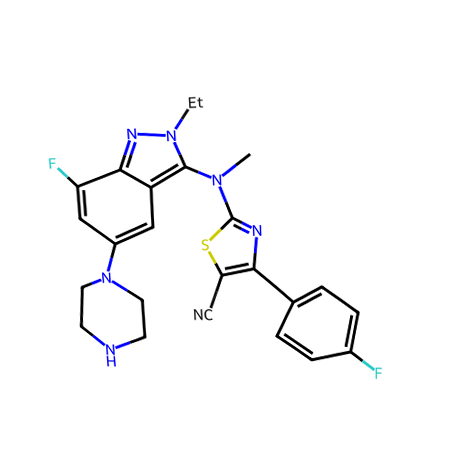 CCn1nc2c(F)cc(N3CCNCC3)cc2c1N(C)c1nc(-c2ccc(F)cc2)c(C#N)s1